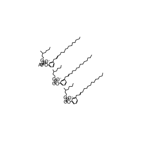 CCCCCCCCCCCCC=CCc1cccc(OP(=O)([O-])OCCC(C)CCCC)c1.CCCCCCCCCCCCC=CCc1cccc(OP(=O)([O-])OCCC(C)CCCC)c1.CCCCCCCCCCCCC=CCc1cccc(OP(=O)([O-])OCCC(C)CCCC)c1.[Al+3]